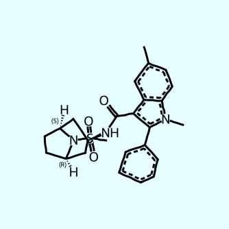 Cc1ccc2c(c1)c(C(=O)N[C@H]1C[C@H]3CC[C@@H](C1)N3S(C)(=O)=O)c(-c1ccccc1)n2C